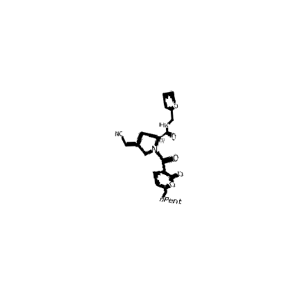 CCCCCc1ccc(C(=O)N2CC(=CC#N)C[C@H]2C(=O)NCc2ccco2)c(=O)o1